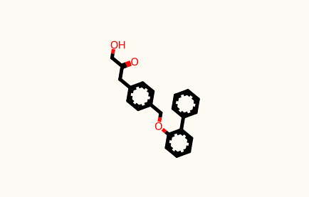 O=C(CO)Cc1ccc(COc2ccccc2-c2ccccc2)cc1